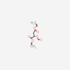 C=COC(=O)CC(OC=O)C(=O)OC=C